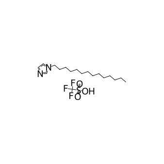 CCCCCCCCCCCCCCn1ccnc1.O=S(=O)(O)C(F)(F)F